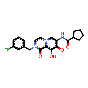 O=C(Nc1cn2ccn(Cc3cccc(Cl)c3)c(=O)c2c(O)c1=O)C1CCCC1